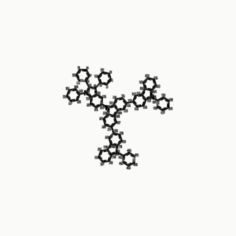 c1ccc(-c2c(-c3ccccc3)n(-c3ccccc3)c3ccc(-n4c5ccc(-c6ccc7c(c6)c6ccccc6n7-c6ccccc6)cc5c5cc(-c6ccc7c(c6)c6ccccc6n7-c6ccccc6)ccc54)cc23)cc1